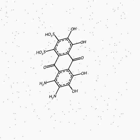 Nc1c(N)c2c(c(O)c1O)C(=O)c1c(O)c(O)c(S(=O)(=O)O)c(S(=O)(=O)O)c1C2=O